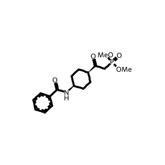 COP(=O)(CC(=O)[C@H]1CC[C@@H](NC(=O)c2ccccc2)CC1)OC